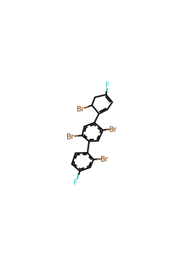 FC1=CC=C(c2cc(Br)c(-c3ccc(F)cc3Br)cc2Br)C(Br)C1